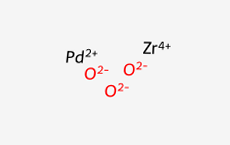 [O-2].[O-2].[O-2].[Pd+2].[Zr+4]